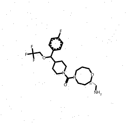 NC[C@@H]1CCN(C(=O)N2CCC(C(OCC(F)(F)F)c3ccc(F)cc3)CC2)CCCO1